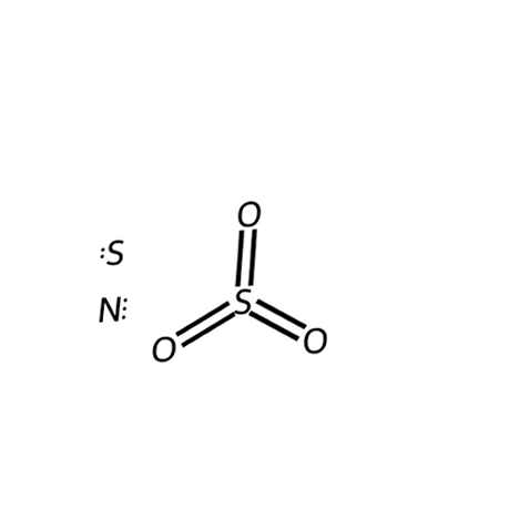 O=S(=O)=O.[N].[S]